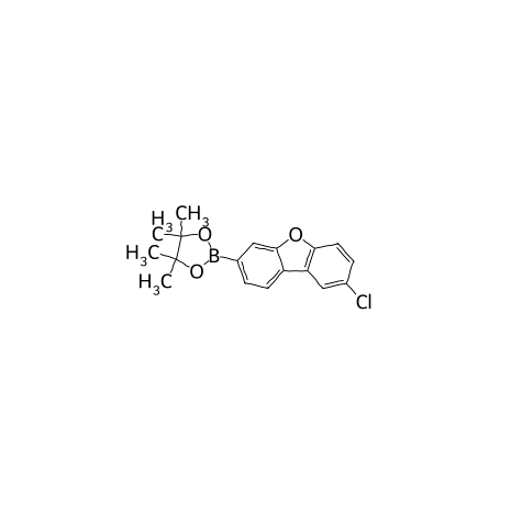 CC1(C)OB(c2ccc3c(c2)oc2ccc(Cl)cc23)OC1(C)C